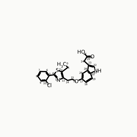 CCc1sc(-c2ccccc2Cl)nc1CCOc1ccc2[nH]cc(CC(=O)O)c2c1